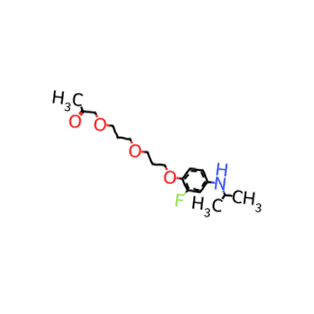 CC(=O)COCCCOCCCOc1ccc(NC(C)C)cc1F